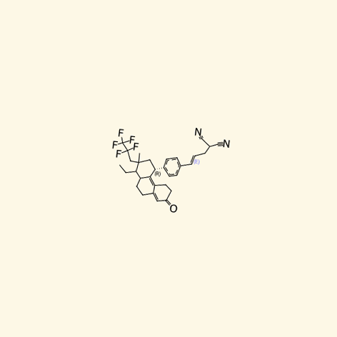 CCC1C2CCC3=CC(=O)CCC3=C2[C@@H](c2ccc(/C=C/CC(C#N)C#N)cc2)CC1(C)CC(F)(F)C(F)(F)F